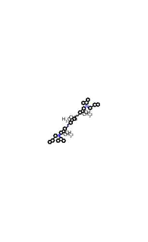 CC1(C)c2cc(/C=C/c3ccc4c(c3)C(C)(C)c3cc(N(c5cccc(-c6ccc7ccccc7c6)c5)c5cc6ccccc6c6ccccc56)ccc3-4)ccc2-c2ccc(/C=C/c3ccc4c(c3)C(C)(C)c3cc(N(c5cccc(-c6ccc7ccccc7c6)c5)c5cc6ccccc6c6ccccc56)ccc3-4)cc21